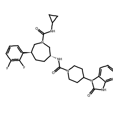 O=C(NC1CC1)N1C[C@H](NC(=O)N2CCC(n3c(=O)[nH]c4ncccc43)CC2)CC[C@@H](c2cccc(F)c2F)C1